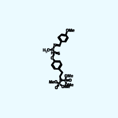 COc1ccc(/C=N/N(C)[PH](=S)Oc2ccc(CCN(P(=O)(OC)OC)P(=O)(OC)OC)cc2)cc1